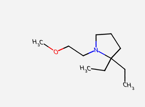 CCC1(CC)CCCN1CCOC